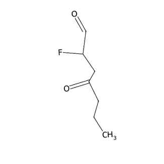 CCCC(=O)CC(F)C=O